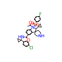 CC(=O)[N+]1(S(=O)(=O)c2ccc(F)cc2)c2ccc(C(=O)NC3(c4ccc(Cl)cc4)CC3)cc2C2(CCNCC2)C1C1CC1